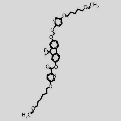 C=COCCCCCCOc1ccc(C(=O)Oc2ccc3c(c2)C(F)(F)c2cc(OCOc4ccc(OCCCCCOC=C)cn4)ccc2-3)nc1